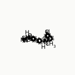 C[C@H](C(=O)NC1CCN(c2ccc(S(=O)(=O)Nc3ncns3)cc2)CC1)N1CCCc2cc(Cl)ccc21